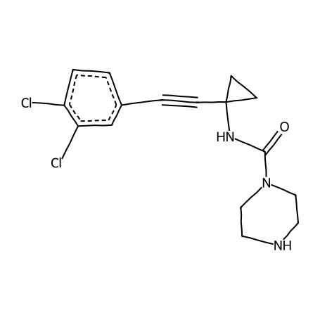 O=C(NC1(C#Cc2ccc(Cl)c(Cl)c2)CC1)N1CCNCC1